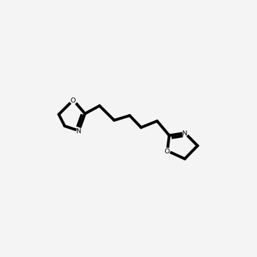 C(CCC1=NCCO1)CCC1=NCCO1